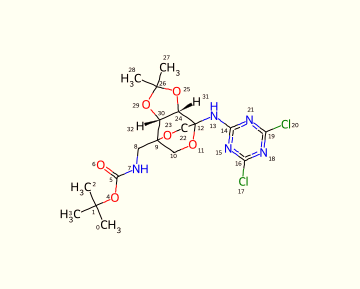 CC(C)(C)OC(=O)NCC12COC(Nc3nc(Cl)nc(Cl)n3)(CO1)[C@H]1OC(C)(C)O[C@H]12